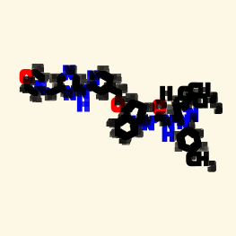 Cc1ccc(-n2nc(C(C)(C)C)cc2NC(=O)Nc2ccc(OCc3ccnc(Nc4cncc(CN5CCOCC5)n4)c3)c3ccccc23)cc1